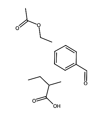 CCC(C)C(=O)O.CCOC(C)=O.O=Cc1ccccc1